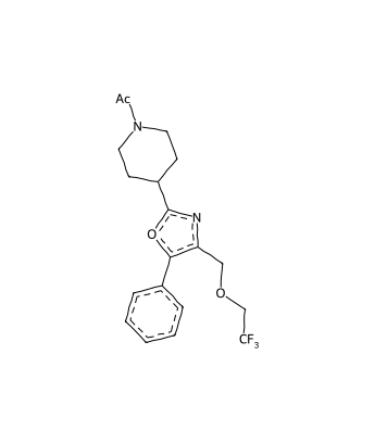 CC(=O)N1CCC(c2nc(COCC(F)(F)F)c(-c3ccccc3)o2)CC1